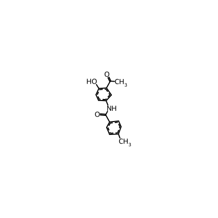 CC(=O)c1cc(NC(=O)c2ccc(C)cc2)ccc1O